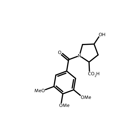 COc1cc(C(=O)N2CC(O)CC2C(=O)O)cc(OC)c1OC